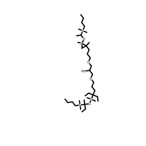 CCCC[Si](C)(C)C(C)O[Si]1(C)CC1(C)CCCOCC(O)COCCCC(CC)(CC)[Si](C)(C)OC(C)(CC)[Si](C)(C)CCCC